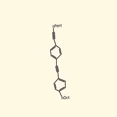 CCCCCC#Cc1ccc(C#Cc2ccc(CCCCCCCC)cc2)cc1